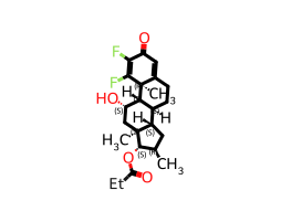 CCC(=O)O[C@H]1[C@H](C)C[C@H]2[C@@H]3CCC4=CC(=O)C(F)=C(F)[C@]4(C)[C@H]3[C@@H](O)C[C@@]21C